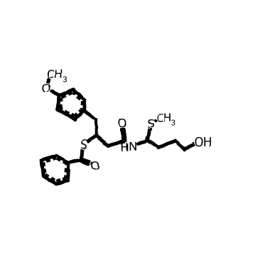 COc1ccc(CC(CC(=O)NC(CCCO)SC)SC(=O)c2ccccc2)cc1